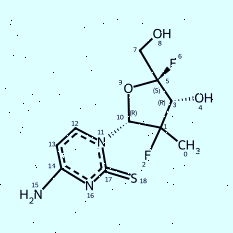 CC1(F)[C@@H](O)[C@@](F)(CO)O[C@H]1n1ccc(N)nc1=S